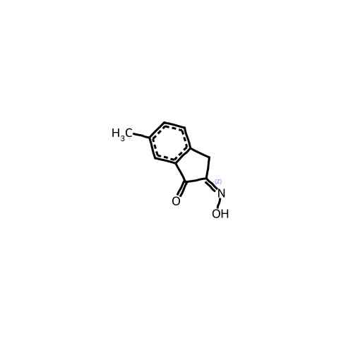 Cc1ccc2c(c1)C(=O)/C(=N\O)C2